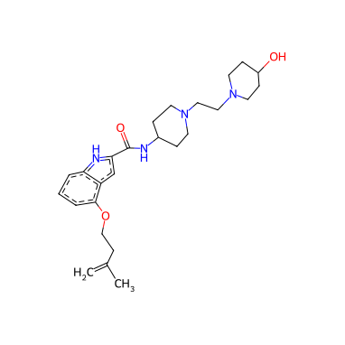 C=C(C)CCOc1cccc2[nH]c(C(=O)NC3CCN(CCN4CCC(O)CC4)CC3)cc12